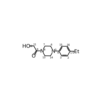 CCc1ccc(N2CCN(C(=O)CO)CC2)cc1